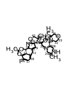 CC(=O)OCc1nc2c(cc1Cc1ccc(F)cc1)N(C(=O)CN1C[C@@H](C)NC[C@@H]1CN1CCOCC1(C)C)C(C)CO2